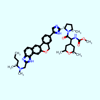 CCC[C@H](C)N(C)Cc1nc2ccc3cc4c(cc3c2[nH]1)OCc1cc(-c2cnc([C@@H]3CC[C@H](C)N3C(=O)C(NC(=O)OC)C3CC(C)O[C@H](C)C3)[nH]2)ccc1-4